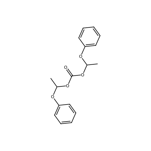 CC(OC(=O)OC(C)Oc1ccccc1)Oc1ccccc1